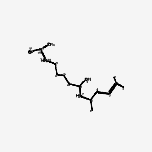 CC(C)=CCC(C)NC(O)CCCCN[S+]([O-])C(C)(C)C